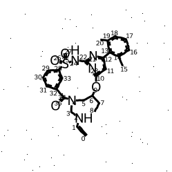 C=CNCN1CC(CC)Oc2cc(-c3c(C)cccc3C)nc(n2)NS(=O)(=O)c2cccc(c2)C1=O